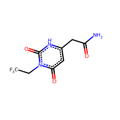 NC(=O)Cc1cc(=O)n(CC(F)(F)F)c(=O)[nH]1